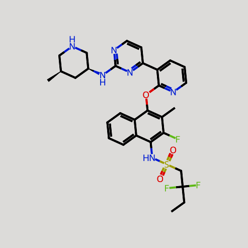 CCC(F)(F)CS(=O)(=O)Nc1c(F)c(C)c(Oc2ncccc2-c2ccnc(N[C@@H]3CNC[C@H](C)C3)n2)c2ccccc12